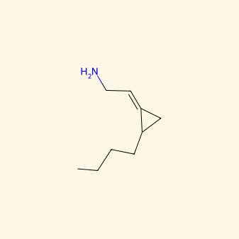 CCCCC1C/C1=C/CN